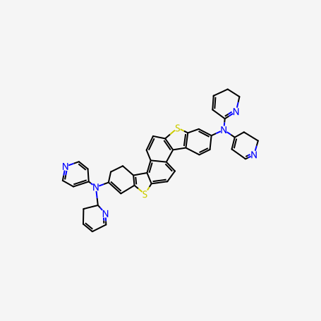 C1=CCC(N(C2=Cc3sc4ccc5c(ccc6sc7cc(N(C8=CC=NCC8)C8=NCCC=C8)ccc7c65)c4c3CC2)c2ccncc2)N=C1